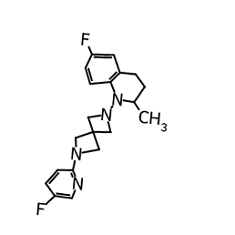 CC1CCc2cc(F)ccc2N1N1CC2(CN(c3ccc(F)cn3)C2)C1